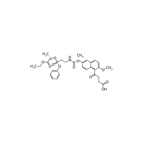 CCOC(=O)[C@H](C)OP(=O)(CCNC(=O)[C@H](C)c1ccc2c(C(=O)CCC(=O)O)c(OC)ccc2c1)Oc1ccccc1